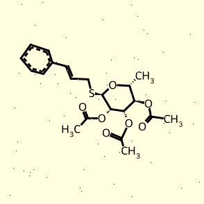 CC(=O)O[C@@H]1[C@H](OC(C)=O)[C@@H](SCC=Cc2ccccc2)O[C@H](C)[C@H]1OC(C)=O